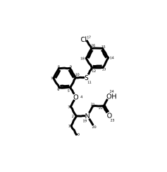 CCC(COc1ccccc1Sc1cccc(Cl)c1)N(C)CC(=O)O